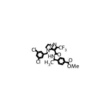 COC(=O)c1ccc(C(C)NC(=O)c2c(C(F)(F)F)nn3c2N(Cc2cc(Cl)cc(Cl)c2)CC3)cc1